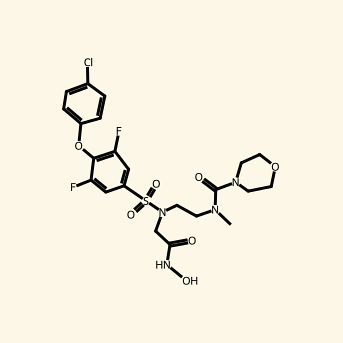 CN(CCN(CC(=O)NO)S(=O)(=O)c1cc(F)c(Oc2ccc(Cl)cc2)c(F)c1)C(=O)N1CCOCC1